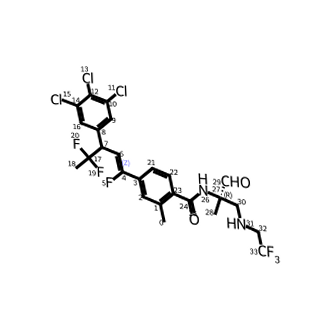 Cc1cc(/C(F)=C/C(c2cc(Cl)c(Cl)c(Cl)c2)C(C)(F)F)ccc1C(=O)N[C@@](C)(C=O)CNCC(F)(F)F